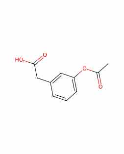 CC(=O)Oc1cccc([CH]C(=O)O)c1